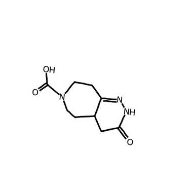 O=C1CC2CCN(C(=O)O)CCC2=NN1